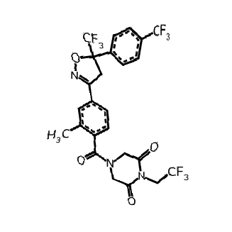 Cc1cc(C2=NOC(c3ccc(C(F)(F)F)cc3)(C(F)(F)F)C2)ccc1C(=O)N1CC(=O)N(CC(F)(F)F)C(=O)C1